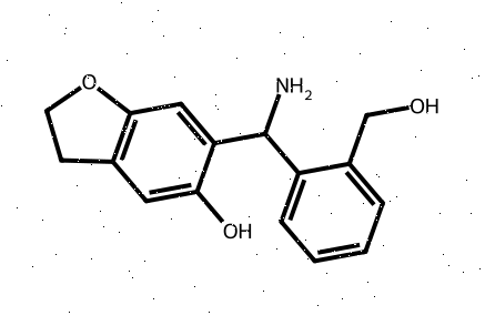 NC(c1cc2c(cc1O)CCO2)c1ccccc1CO